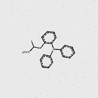 CCCCCC(C)Cc1ccccc1N(c1ccccc1)c1ccccc1